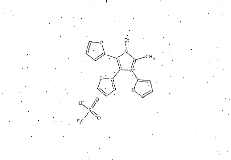 CCn1c(-c2ccco2)c(-c2ccco2)[n+](-c2ccco2)c1C.O=S(=O)([O-])C(F)(F)F